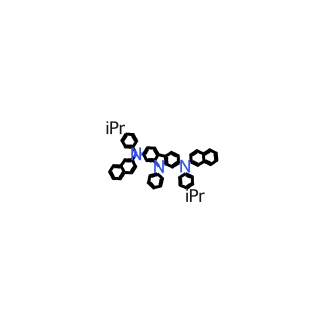 CC(C)c1ccc(N(c2ccc3ccccc3c2)c2ccc3c4ccc(N(c5ccc(C(C)C)cc5)c5ccc6ccccc6c5)cc4n(-c4ccccc4)c3c2)cc1